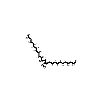 [CH2]C[Si](C)(CCCCCCCCCCCC)CCCCCCCCCCCC